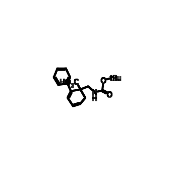 CC(C)(C)OC(=O)NCC1(C(=O)O)CC=CC=C1c1ccccc1